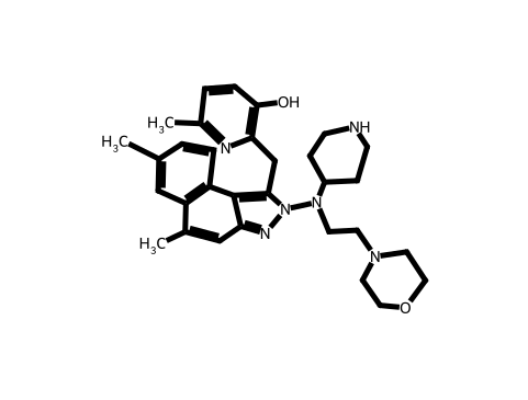 Cc1ccc2c(c1)c(C)cc1nn(N(CCN3CCOCC3)C3CCNCC3)c(Cc3nc(C)ccc3O)c12